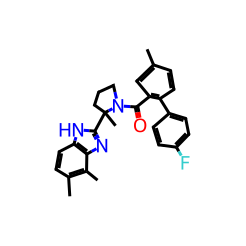 Cc1ccc(-c2ccc(F)cc2)c(C(=O)N2CCCC2(C)c2nc3c(C)c(C)ccc3[nH]2)c1